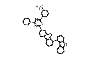 Cc1cccc(-c2nc(-c3ccccc3)nc(-c3ccc4c(c3)oc3c(-c5cccc6oc7ccccc7c56)cccc34)n2)c1